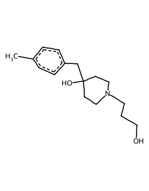 Cc1ccc(CC2(O)CCN(CCCO)CC2)cc1